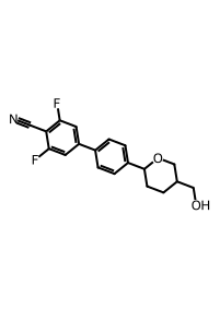 N#Cc1c(F)cc(-c2ccc(C3CCC(CO)CO3)cc2)cc1F